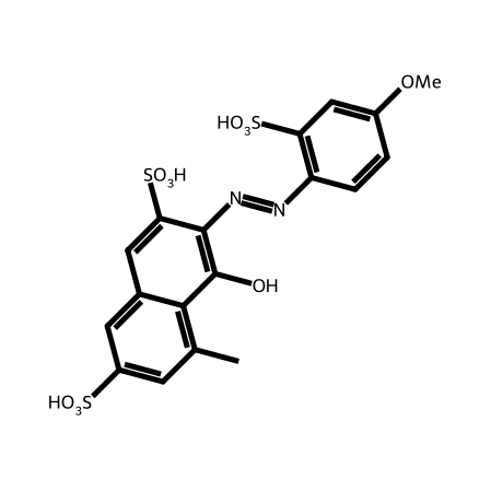 COc1ccc(N=Nc2c(S(=O)(=O)O)cc3cc(S(=O)(=O)O)cc(C)c3c2O)c(S(=O)(=O)O)c1